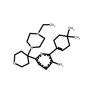 CCN1CCN(C2(c3ccc(N)c(C4=CCC(C)(C)CC4)n3)CCOCC2)CC1